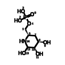 O=P(O)(O)OC[C@@H]1C[C@H](O)[C@H](O)C(O)N1